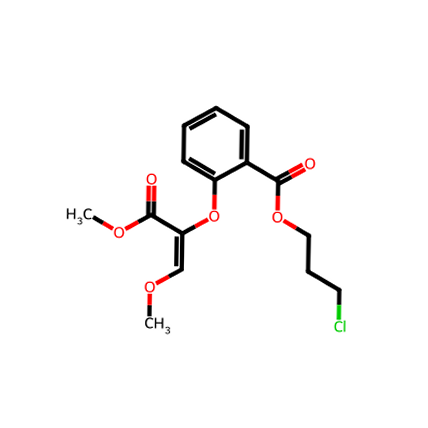 CO/C=C(/Oc1ccccc1C(=O)OCCCCl)C(=O)OC